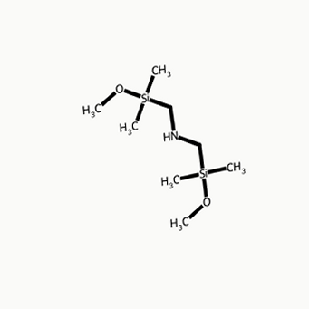 CO[Si](C)(C)CNC[Si](C)(C)OC